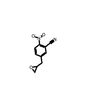 N#Cc1cc(CC2CO2)ccc1[N+](=O)[O-]